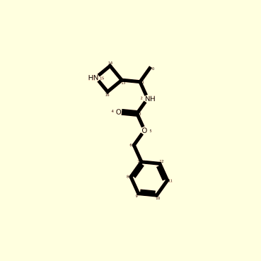 CC(NC(=O)OCc1ccccc1)C1CNC1